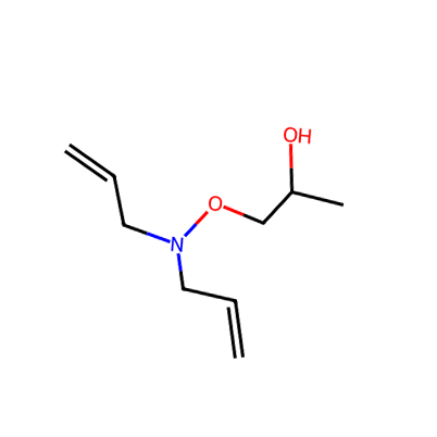 C=CCN(CC=C)OCC(C)O